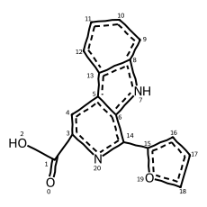 O=C(O)c1cc2c([nH]c3ccccc32)c(-c2ccco2)n1